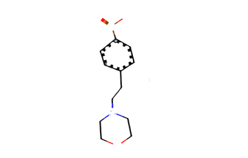 O=S([O-])c1ccc(CCN2CCOCC2)cc1.[Li+]